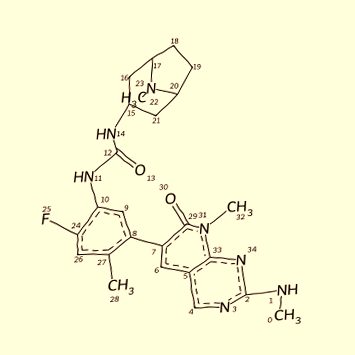 CNc1ncc2cc(-c3cc(NC(=O)NC4CC5CCC(C4)N5C)c(F)cc3C)c(=O)n(C)c2n1